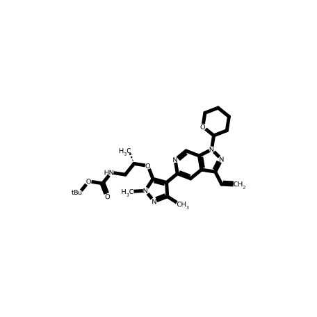 C=Cc1nn(C2CCCCO2)c2cnc(-c3c(C)nn(C)c3O[C@@H](C)CNC(=O)OC(C)(C)C)cc12